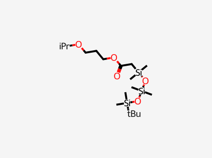 CC(C)OCCCOC(=O)C[Si](C)(C)O[Si](C)(C)O[Si](C)(C)C(C)(C)C